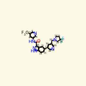 O=C(Nc1cncc(C(F)(F)F)c1)c1n[nH]c2ccc(-c3cncc(CN4CCC(F)(F)C4)c3)cc12